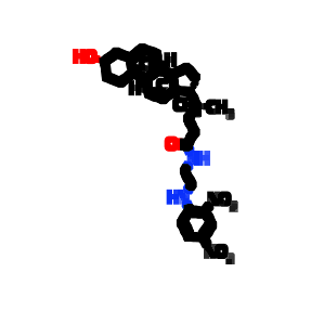 C[C@H](CCC(=O)NCCNc1ccc([N+](=O)[O-])cc1[N+](=O)[O-])[C@H]1CC[C@@]2(C)[C@@H]3CC=C4C[C@@H](O)CC[C@]4(C)[C@H]3CC[C@]12C